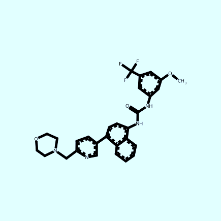 COc1cc(NC(=O)Nc2ccc(-c3ccc(CN4CCOCC4)nc3)c3ccccc23)cc(C(F)(F)F)c1